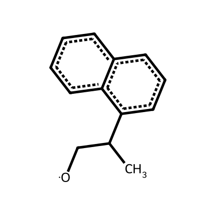 CC(C[O])c1cccc2ccccc12